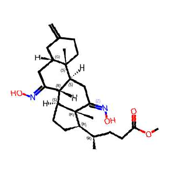 C=C1CC[C@@]2(C)[C@@H](C1)CC(=NO)[C@@H]1[C@@H]2C/C(=N/O)[C@]2(C)[C@@H]([C@H](C)CCC(=O)OC)CC[C@@H]12